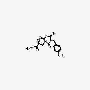 COC(=O)[C@@H](C)Cn1c(=O)[nH]c(=N)n(Cc2ccc(C)cc2)c1=O